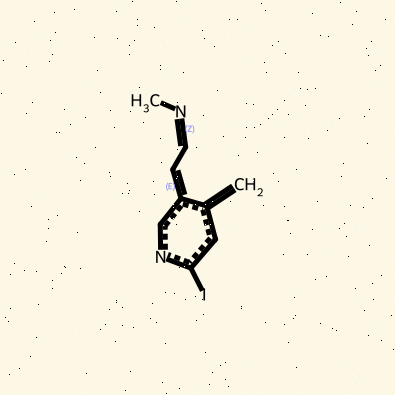 C=c1cc(I)nc/c1=C/C=N\C